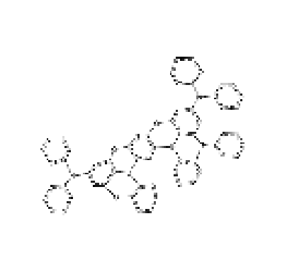 c1ccc(N(c2ccccc2)c2cc3c4c(c2)Oc2nc5c(cc2B4c2ccccc2O3)B2c3ccccc3N(c3ccccc3)c3cc(N(c4ccccc4)c4ccccc4)cc(c32)O5)cc1